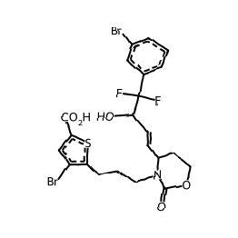 O=C(O)c1cc(Br)c(CCCN2C(=O)OCCC2/C=C/C(O)C(F)(F)c2cccc(Br)c2)s1